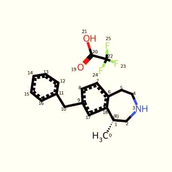 C[C@H]1CNCCc2ccc(Cc3ccccc3)cc21.O=C(O)C(F)(F)F